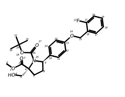 COC(=O)[C@]1(CO)CC[C@H](c2ccc(OCc3ccccc3F)cc2)N1C(=O)OC(C)(C)C